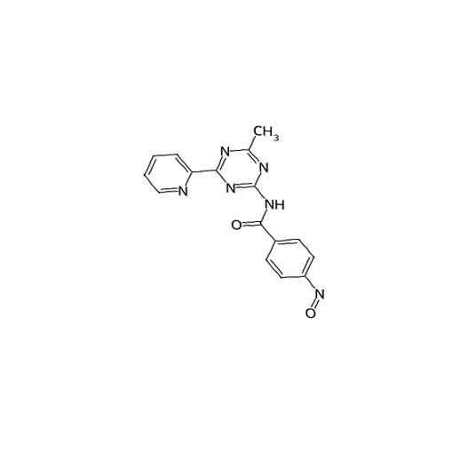 Cc1nc(NC(=O)c2ccc(N=O)cc2)nc(-c2ccccn2)n1